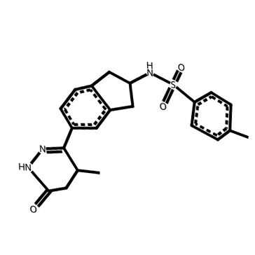 Cc1ccc(S(=O)(=O)NC2Cc3ccc(C4=NNC(=O)CC4C)cc3C2)cc1